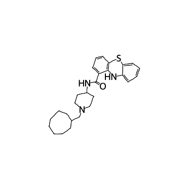 O=C(NC1CCN(CC2CCCCCCC2)CC1)c1cccc2c1Nc1ccccc1S2